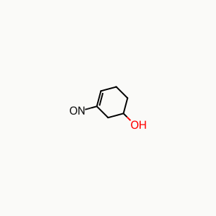 O=NC1=CCCC(O)C1